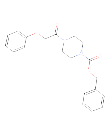 O=C(COc1ccccc1)N1CCN(C(=O)OCc2ccccc2)CC1